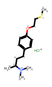 CSCCOc1ccc(CCC(C)N(C)C)cc1.Cl